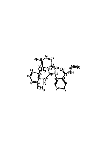 CNNC(=O)c1ccccc1-c1nc2ccc(F)cn2c1Nc1c(C)cccc1C